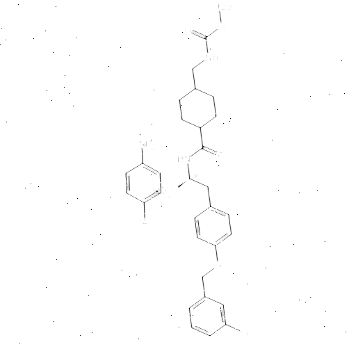 CC(=O)c1ccc(N)cc1.CC(C)(C)OC(=O)NCC1CCC(C(=O)N[C@@H](Cc2ccc(OCc3cccc(Cl)c3)cc2)C(=O)O)CC1